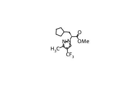 COC(=O)[C@H](CC1CCCC1)n1cc(C(F)(F)F)c(C)n1